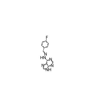 Fc1ccc(/C=N/Nc2ncnc3[nH]cnc23)cc1